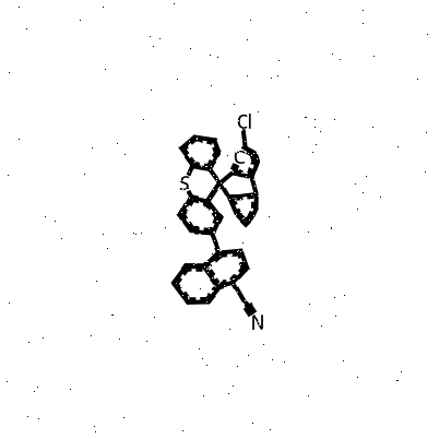 N#Cc1ccc(-c2ccc3c(c2)C2(c4ccccc4S3)c3ccccc3-c3ccc(Cl)cc32)c2ccccc12